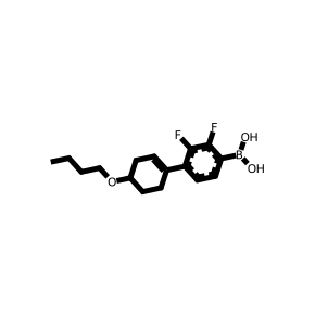 CCCCOC1CC=C(c2ccc(B(O)O)c(F)c2F)CC1